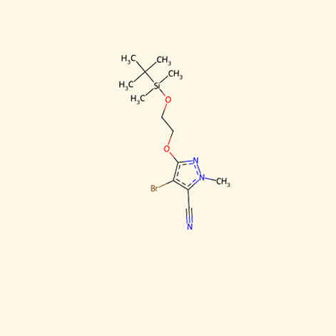 Cn1nc(OCCO[Si](C)(C)C(C)(C)C)c(Br)c1C#N